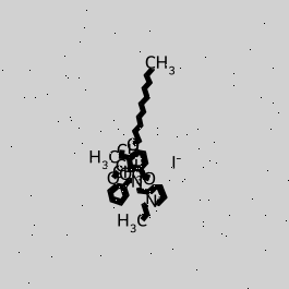 CCCCCCCCCCCCOc1ccc(C(=O)N(Cc2cccc[n+]2CCC)C(=O)c2ccccc2OC)cc1C(C)(C)C.[I-]